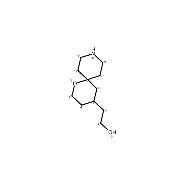 OCCC1CCOC2(CCNCC2)C1